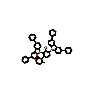 N#Cc1c(-n2c3ccc(-c4ccccc4)cc3c3cc(-c4ccccc4)ccc32)ccc(-c2c(F)cccc2F)c1-n1c2ccc(-c3ccccc3)cc2c2cc(-c3ccccc3)ccc21